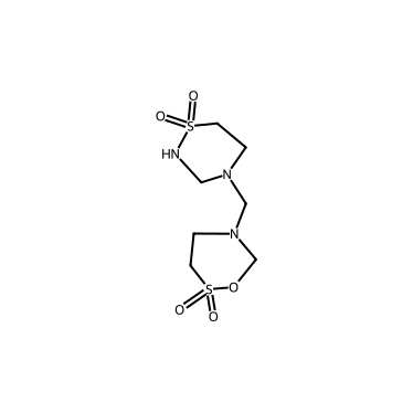 O=S1(=O)CCN(CN2CCS(=O)(=O)OC2)CN1